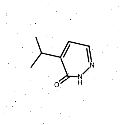 CC(C)c1ccn[nH]c1=O